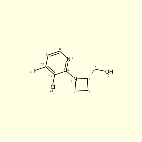 OC[C@@H]1CCN1c1nccc(I)c1Cl